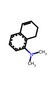 CN(C)c1cccc2c1CCC=C2